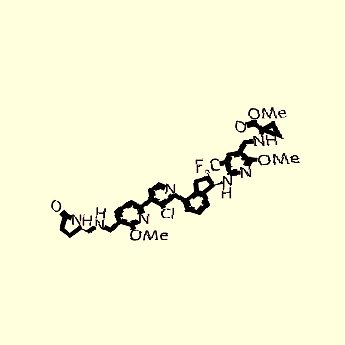 COC(=O)C1(NCc2cc(C(F)(F)F)c(N[C@@H]3CCc4c(-c5nccc(-c6ccc(CNC[C@H]7CCC(=O)N7)c(OC)n6)c5Cl)cccc43)nc2OC)CC1